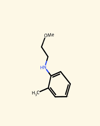 COCCNc1cc[c]cc1C